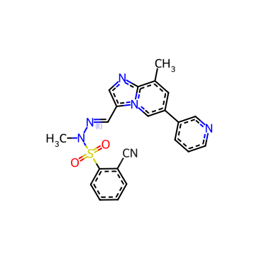 Cc1cc(-c2cccnc2)cn2c(/C=N/N(C)S(=O)(=O)c3ccccc3C#N)cnc12